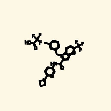 Cc1cccc(Cn2c(C(=O)Nc3ccc(N4CCC4)nc3)cc3nc(C(F)(F)F)ccc32)c1.O=C(O)C(F)(F)F